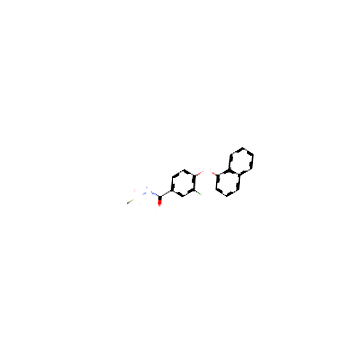 CS(=O)(=O)NC(=O)c1ccc(Oc2cccc3ccccc23)c(Cl)c1